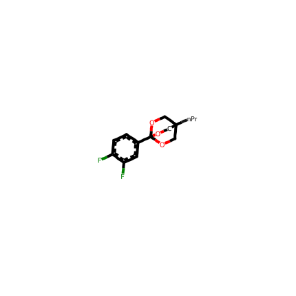 CCCC12COC(c3ccc(F)c(F)c3)(OC1)OC2